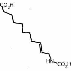 O=C(O)CCCCCCC/C=C/CNC(=O)O